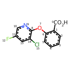 O=C(O)c1ccccc1Oc1ncc(F)cc1Cl